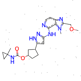 COCc1nc2ccnc(Nc3cc(C4CCC(OC(=O)NC5(C)CC5)C4)[nH]n3)c2n1C